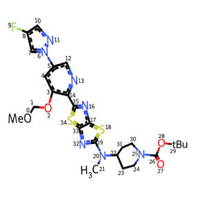 COCOc1cc(-n2cc(F)cn2)cnc1-c1nc2sc(N(C)C3CCN(C(=O)OC(C)(C)C)CC3)nc2s1